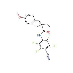 CCC(C)(Cc1ccc(OC)cc1)C(=O)Nc1c(F)c(F)c(C#N)c(F)c1F